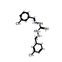 N=C(N/N=C/c1cccc(Cl)c1)N/N=C/C1C=C(Cl)C=CC1